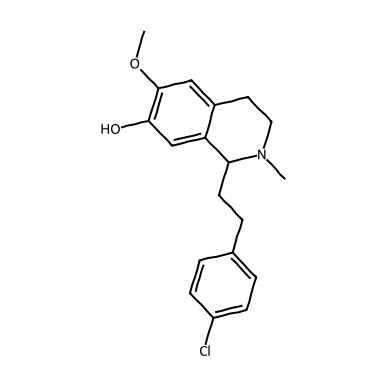 COc1cc2c(cc1O)C(CCc1ccc(Cl)cc1)N(C)CC2